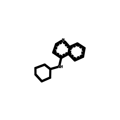 c1ccc2c(NC3CCCCC3)ccnc2c1